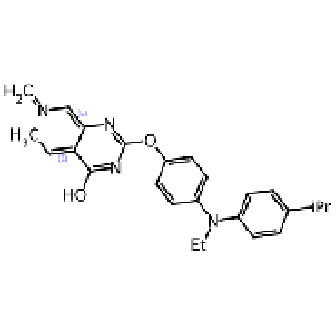 C=N/C=c1/nc(Oc2ccc(N(CC)c3ccc(C(C)C)cc3)cc2)nc(O)/c1=C/C